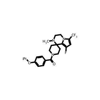 CC(C)Oc1ccc(C(=O)N2CCC3(CC2)c2c(F)cc(C(F)(F)F)n2CCN3C)cc1